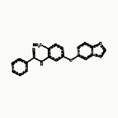 O=C(Nc1cc(Oc2ccc3occc3c2)ccc1C(=O)O)c1ccccc1